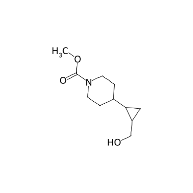 COC(=O)N1CCC(C2CC2CO)CC1